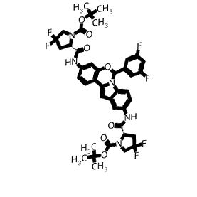 CC(C)(C)OC(=O)N1CC(F)(F)C[C@H]1C(=O)Nc1ccc2c(c1)OC(c1cc(F)cc(F)c1)n1c-2cc2cc(NC(=O)[C@@H]3CC(F)(F)CN3C(=O)OC(C)(C)C)ccc21